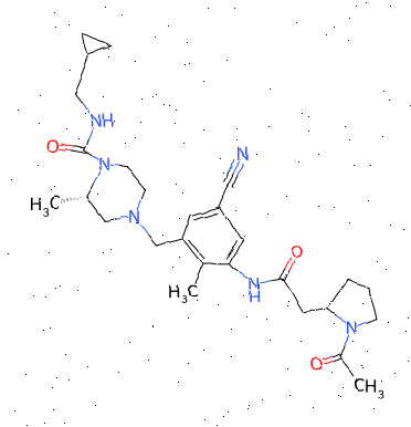 CC(=O)N1CCCC1CC(=O)Nc1cc(C#N)cc(CN2CCN(C(=O)NCC3CC3)[C@@H](C)C2)c1C